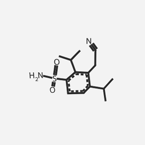 CC(C)c1ccc(S(N)(=O)=O)c(C(C)C)c1CC#N